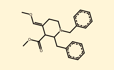 COC=C1CCN(Cc2ccccc2)C(Cc2ccccc2)C1C(=O)OC